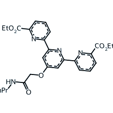 CCCNC(=O)COc1cc(-c2cccc(C(=O)OCC)n2)nc(-c2cccc(C(=O)OCC)n2)c1